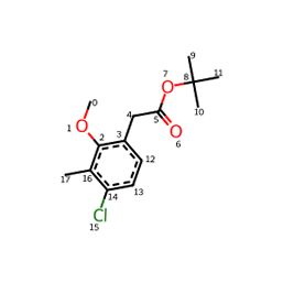 COc1c(CC(=O)OC(C)(C)C)ccc(Cl)c1C